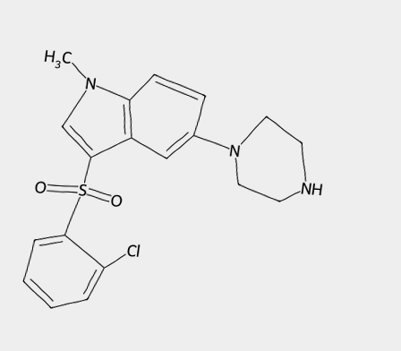 Cn1cc(S(=O)(=O)c2ccccc2Cl)c2cc(N3CCNCC3)ccc21